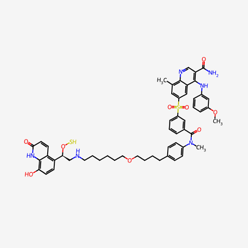 COc1cccc(Nc2c(C(N)=O)cnc3c(C)cc(S(=O)(=O)c4cccc(C(=O)N(C)c5ccc(CCCCOCCCCCCNC[C@H](OS)c6ccc(O)c7[nH]c(=O)ccc67)cc5)c4)cc23)c1